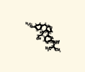 COc1ccc(Cn2ncc(-c3ccnc(NC(C)C)n3)c2NCCO)cc1